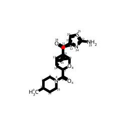 CC1CCN(C(=O)C2Oc3c(OC(C)C)cc2cc3C(=O)c2csc(N)n2)CC1